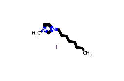 CCCCCCCC[n+]1ccn(C)c1.[I-]